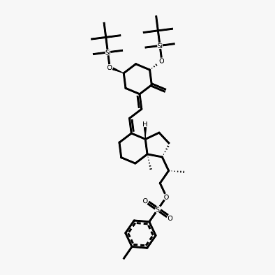 C=C1/C(=C/C=C2/CCC[C@]3(C)[C@@H]([C@H](C)COS(=O)(=O)c4ccc(C)cc4)CC[C@@H]23)C[C@@H](O[Si](C)(C)C(C)(C)C)C[C@@H]1O[Si](C)(C)C(C)(C)C